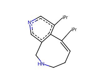 CC(C)/C1=C/CCNCc2cncc(C(C)C)c21